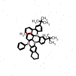 Cc1cc2c3c(c1)N(c1ccc(C(C)(C)C)cc1-c1ccccc1)c1cc(C(C)(C)C)ccc1B3c1cc3c(cc1N2c1ccccc1)CCCC3